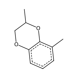 Cc1cccc2c1OC(C)CO2